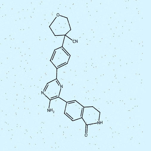 N#CC1(c2ccc(-c3cnc(N)c(-c4ccc5c(c4)CCNC5=O)n3)cc2)CCOCC1